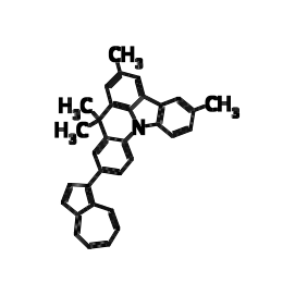 Cc1ccc2c(c1)c1cc(C)cc3c1n2-c1ccc(-c2ccc4cccccc2-4)cc1C3(C)C